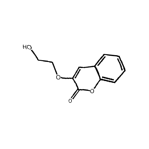 O=c1oc2ccccc2cc1OCCO